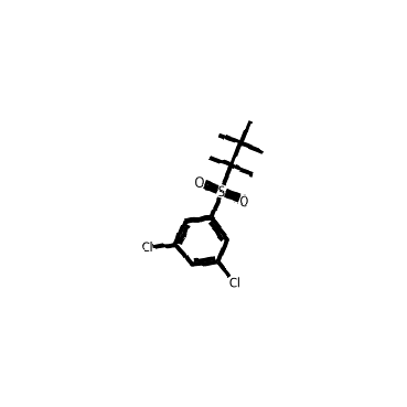 CC(C)(C)C(C)(C)S(=O)(=O)c1cc(Cl)cc(Cl)c1